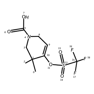 CC1(C)CN(C(=O)O)CC=C1OS(=O)(=O)C(F)(F)F